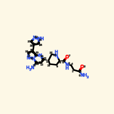 NC(=O)CCNC(=O)[C@@H]1CC[C@H](c2cc(N)n3ncc(-c4cn[nH]c4)c3n2)CN1